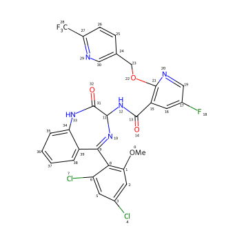 COc1cc(Cl)cc(Cl)c1C1=NC(NC(=O)c2cc(F)cnc2OCc2ccc(C(F)(F)F)nc2)C(=O)Nc2ccccc21